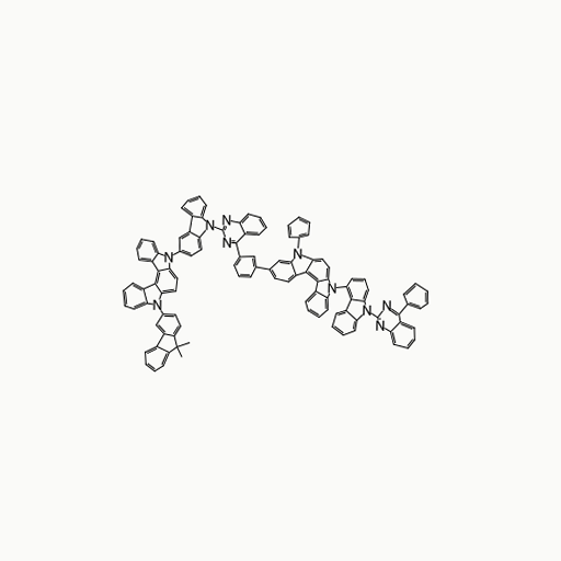 CC1(C)c2ccccc2-c2cc(-n3c4ccccc4c4c5c6ccccc6n(-c6ccc7c(c6)c6ccccc6n7-c6nc(-c7cccc(-c8ccc9c%10c%11c%12ccccc%12n(-c%12cccc%13c%12c%12ccccc%12n%13-c%12nc(-c%13ccccc%13)c%13ccccc%13n%12)c%11ccc%10n(-c%10ccccc%10)c9c8)c7)c7ccccc7n6)c5ccc43)ccc21